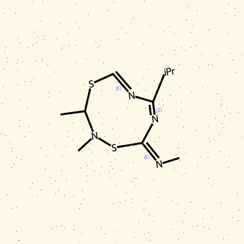 C\N=C1/N=C(C(C)C)\N=C\SC(C)N(C)S1